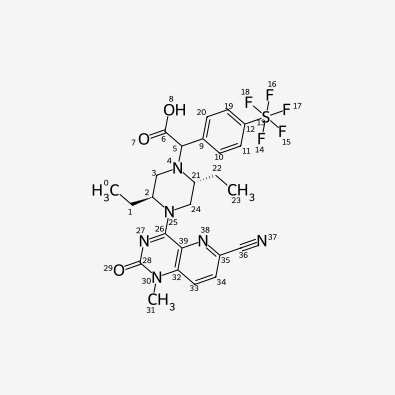 CC[C@H]1CN(C(C(=O)O)c2ccc(S(F)(F)(F)(F)F)cc2)[C@H](CC)CN1c1nc(=O)n(C)c2ccc(C#N)nc12